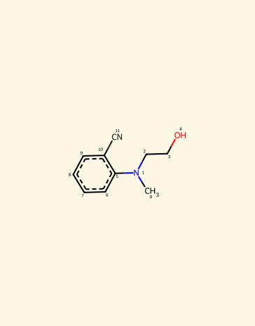 CN(CCO)c1ccccc1C#N